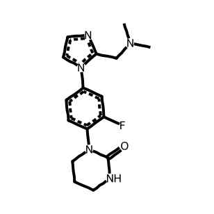 CN(C)Cc1nccn1-c1ccc(N2CCCNC2=O)c(F)c1